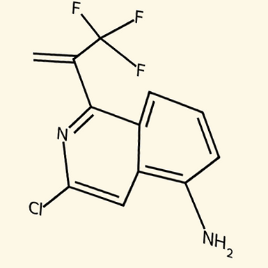 C=C(c1nc(Cl)cc2c(N)cccc12)C(F)(F)F